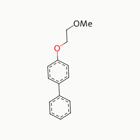 COCCOc1ccc(-c2ccccc2)cc1